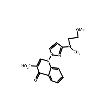 COCCN(C)c1ccn(-n2cc(C(=O)O)c(=O)c3ccccc32)n1